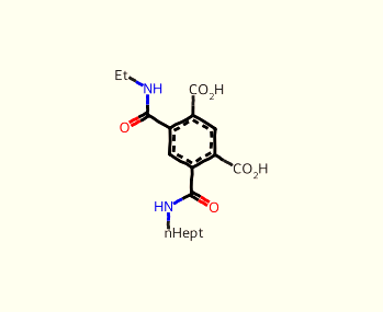 CCCCCCCNC(=O)c1cc(C(=O)NCC)c(C(=O)O)cc1C(=O)O